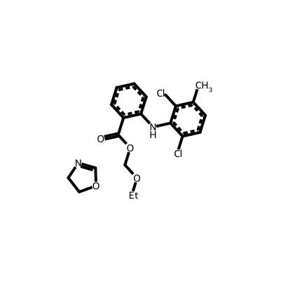 C1=NCCO1.CCOCOC(=O)c1ccccc1Nc1c(Cl)ccc(C)c1Cl